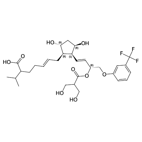 CC(C)C(CCC=CC[C@@H]1[C@H](C=C[C@H](COc2cccc(C(F)(F)F)c2)OC(=O)C(CO)CO)[C@H](O)C[C@H]1O)C(=O)O